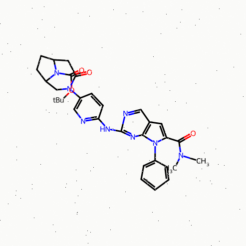 CN(C)C(=O)c1cc2cnc(Nc3ccc(N4CC5CCC(CC4=O)N5C(=O)OC(C)(C)C)cn3)nc2n1-c1ccccc1